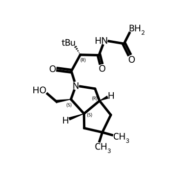 BC(=O)NC(=O)[C@H](C(=O)N1C[C@@H]2CC(C)(C)C[C@@H]2[C@H]1CO)C(C)(C)C